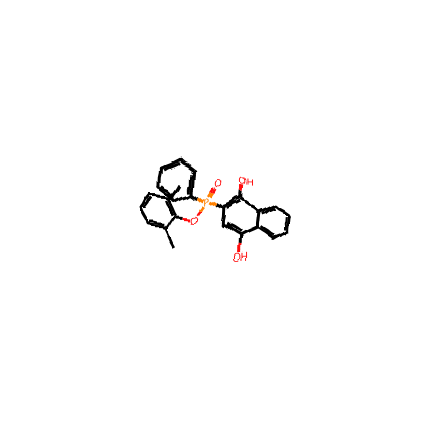 Cc1cccc(C)c1OP(=O)(c1ccccc1)c1cc(O)c2ccccc2c1O